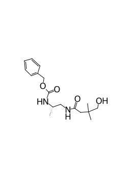 C[C@@H](CNC(=O)CC(C)(C)CO)NC(=O)OCc1ccccc1